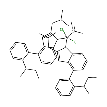 CCC(C)c1ccccc1-c1cccc2c1C=C(CC(C)C)[CH]2[Zr]([Cl])([Cl])([CH]1C(CC(C)C)=Cc2c(-c3ccccc3C(C)CC)cccc21)[SiH](C)C